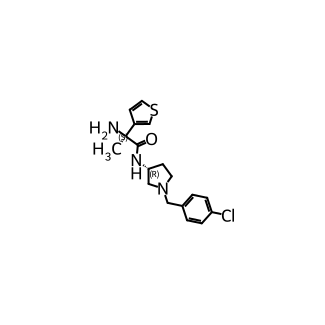 C[C@@](N)(C(=O)N[C@@H]1CCN(Cc2ccc(Cl)cc2)C1)c1ccsc1